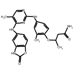 Cc1cc(Nc2ncc(C)c(Nc3ccc4oc(=O)[nH]c4c3)n2)ccc1OC(C)CC(N)=O